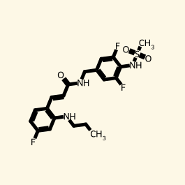 CCCNc1cc(F)ccc1/C=C/C(=O)NCc1cc(F)c(NS(C)(=O)=O)c(F)c1